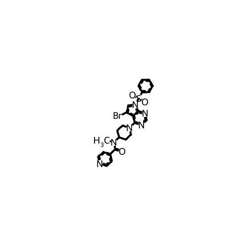 CN(C(=O)c1ccncc1)C1CCN(c2ncnc3c2c(Br)cn3S(=O)(=O)c2ccccc2)CC1